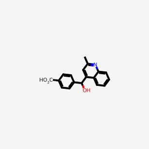 Cc1cc(C(O)c2ccc(C(=O)O)cc2)c2ccccc2n1